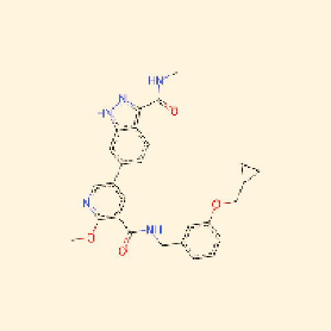 CNC(=O)c1n[nH]c2cc(-c3cnc(OC)c(C(=O)NCc4cccc(OCC5CC5)c4)c3)ccc12